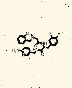 CN(CC(=O)NC(Cc1ccc(F)c(F)c1)C(=O)NCc1ccc(N)nc1)Cc1ccccc1Cl